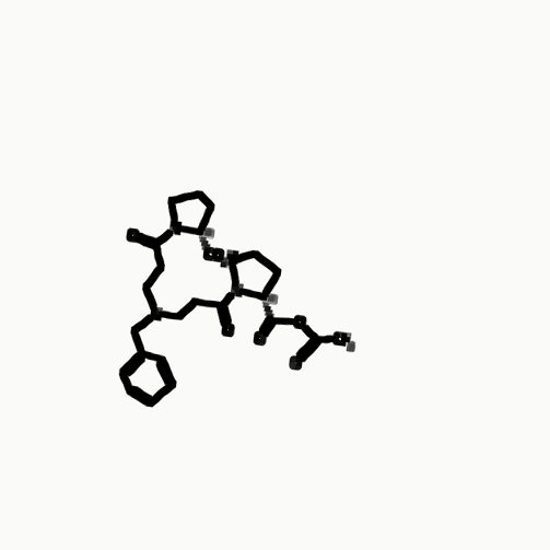 O=C(O)[C@H]1CCCN1C(=O)CCN(CCC(=O)N1CCC[C@@H]1C(=O)OC(=O)C(F)(F)F)Cc1ccccc1